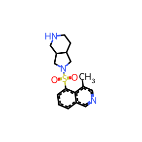 Cc1cncc2cccc(S(=O)(=O)N3CC4CCNCC4C3)c12